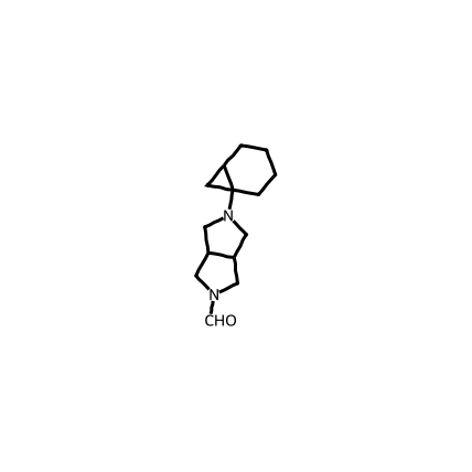 O=CN1CC2CN(C34CCCCC3C4)CC2C1